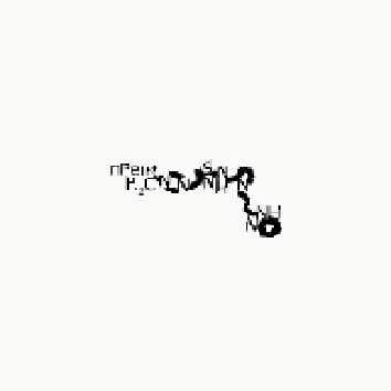 C=C(CCCCC)N1CCN(Cc2csc(NCC3CCCN3CCCc3nc4ccccc4[nH]3)n2)CC1